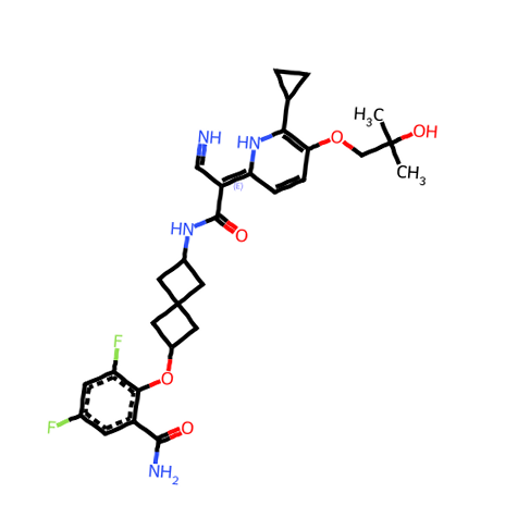 CC(C)(O)COC1=C(C2CC2)N/C(=C(\C=N)C(=O)NC2CC3(C2)CC(Oc2c(F)cc(F)cc2C(N)=O)C3)C=C1